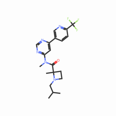 C[C](C)CN1CCC1(C)C(=O)N(C)c1cc(-c2ccc(C(F)(F)F)nc2)ncn1